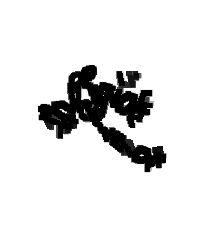 CSc1ccc(NC2CCN(C(=O)CCCN3CCN(c4ccc(C(F)(F)F)cc4)CC3)CC2)cc1C(F)(F)F.O=C([O-])CCCN1CCN(c2ccc(C(F)(F)F)cc2)CC1.[Li+]